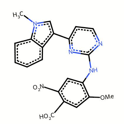 COc1cc(C(=O)O)c([N+](=O)[O-])cc1Nc1nccc(-c2cn(C)c3ccccc23)n1